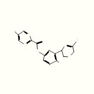 C[C@@]1(c2cc(NC(=O)c3ncc(Br)cn3)ccc2F)COCC(N)=N1